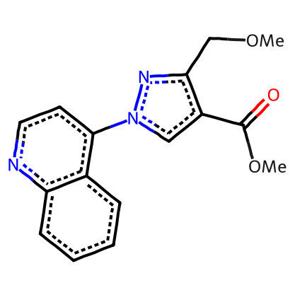 COCc1nn(-c2ccnc3ccccc23)cc1C(=O)OC